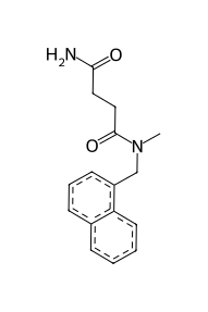 CN(Cc1cccc2ccccc12)C(=O)CCC(N)=O